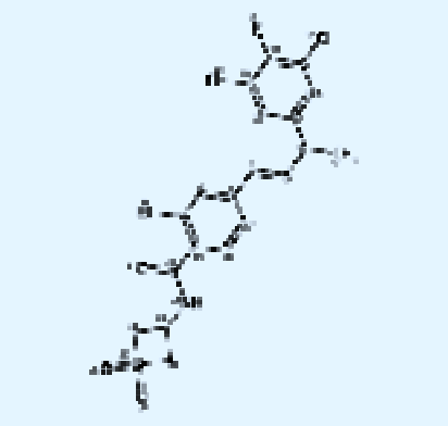 CCc1cc(/C=C/C(c2cc(Cl)c(F)c(Cl)c2)C(F)(F)F)ccc1C(=O)NC1CS(=O)(=O)C1